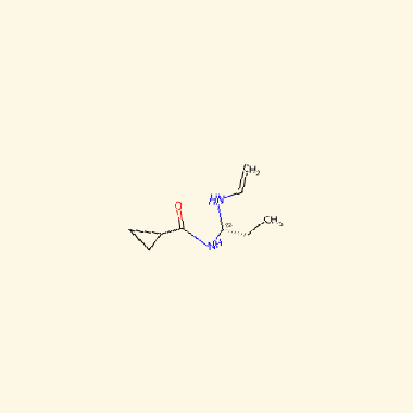 C=CN[C@H](CC)NC(=O)C1CC1